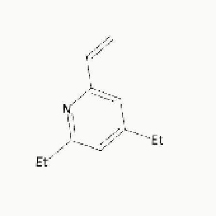 C=Cc1cc(CC)cc(CC)n1